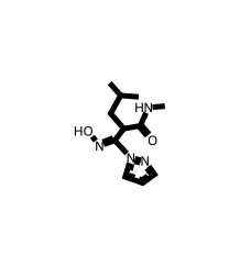 CNC(=O)C(CC(C)C)C(=NO)n1cccn1